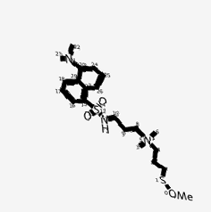 COSCCC[N+](C)(C)CCCNS(=O)(=O)c1cccc2c(N(C)C)cccc12